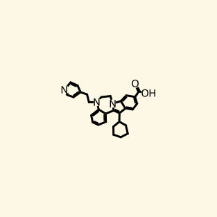 O=C(O)c1ccc2c(C3CCCCC3)c3n(c2c1)CCN(CCc1ccncc1)c1ccccc1-3